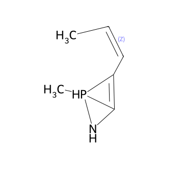 C/C=C\C1=C2N[PH]12C